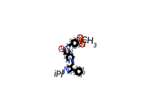 CC(C)CN1CC(CN2CCC3(CC2)CC(=O)N(Cc2ccc(S(C)(=O)=O)cc2)C3)C(c2ccccc2)C1